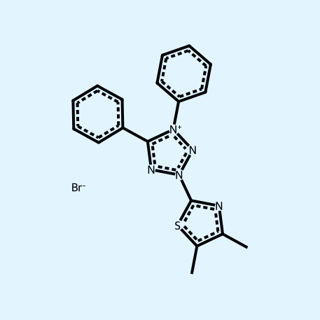 Cc1nc(-n2nc(-c3ccccc3)[n+](-c3ccccc3)n2)sc1C.[Br-]